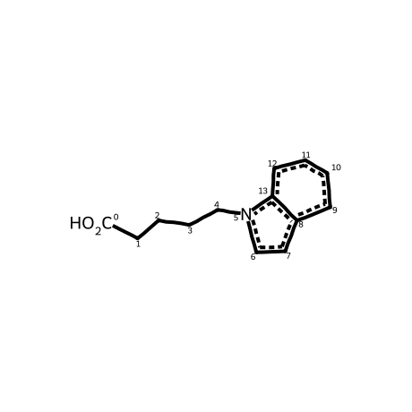 O=C(O)CCCCn1ccc2ccccc21